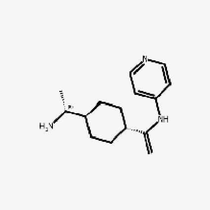 C=C(Nc1ccncc1)[C@H]1CC[C@H]([C@@H](C)N)CC1